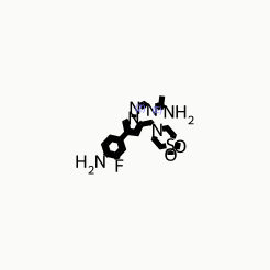 C/C(N)=N\C=N/n1cc(-c2ccc(N)c(F)c2)cc1CN1CCS(=O)(=O)CC1